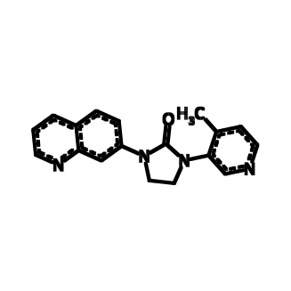 Cc1ccncc1N1CCN(c2ccc3cccnc3c2)C1=O